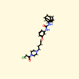 O=C(Nc1cccc(OCCCCN2CCN(C(=O)CCl)CC2)c1)NC12CC3CC(CC(C3)C1)C2